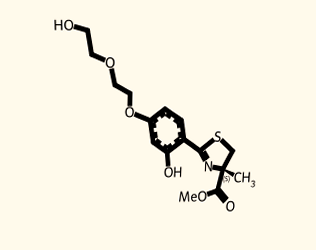 COC(=O)[C@@]1(C)CSC(c2ccc(OCCOCCO)cc2O)=N1